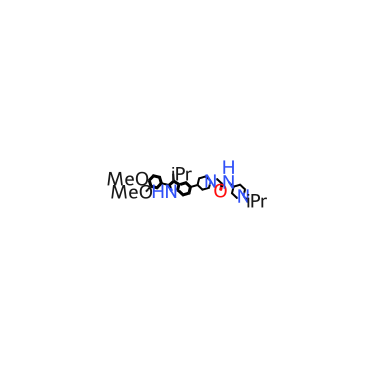 COc1ccc(-c2[nH]c3ccc(C4CCN(CC(=O)NC5CCN(C(C)C)CC5)CC4)cc3c2C(C)C)cc1OC